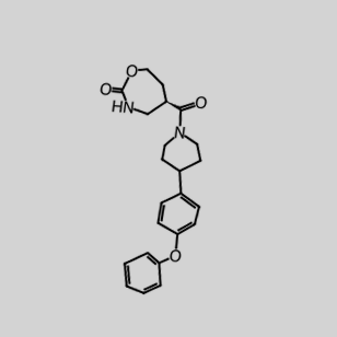 O=C1NC[C@H](C(=O)N2CCC(c3ccc(Oc4ccccc4)cc3)CC2)CCO1